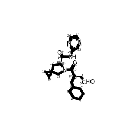 O=CC[C@@H](CC1CCCCC1)C(=O)N1CC2(CC2)C[C@H]1C(=O)Nc1cnccn1